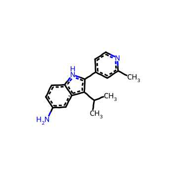 Cc1cc(-c2[nH]c3ccc(N)cc3c2C(C)C)ccn1